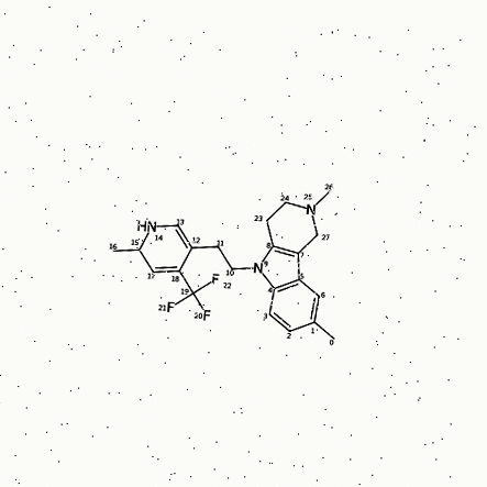 Cc1ccc2c(c1)c1c(n2CCC2=CNC(C)C=C2C(F)(F)F)CCN(C)C1